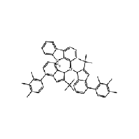 Cc1ccc(-c2cccc3c2C=C(C(C)(C)C)[CH]3[Zr]([c]2cccc3c2[SiH2]c2ccccc2-3)[CH]2C(C(C)(C)C)=Cc3c(-c4ccc(C)c(C)c4C)cccc32)c(C)c1C